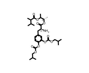 CC(C)COC(=O)Oc1ccc(C[C@H](N)C(=O)O[C@@H](C)C(C)OC(=O)C(C)C(C)C)cc1OC(=O)OCC(C)C